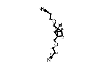 N#CCCOC[C@@H]1CC2(COCCC#N)CC1C2